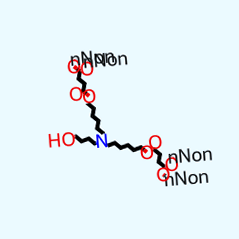 CCCCCCCCCOC(CCC(=O)OCCCCCCN(CCCCO)CCCCCCOC(=O)CCC(OCCCCCCCCC)OCCCCCCCCC)OCCCCCCCCC